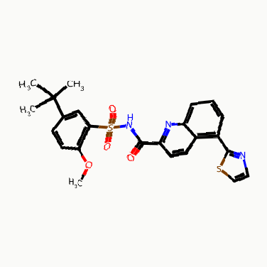 COc1ccc(C(C)(C)C)cc1S(=O)(=O)NC(=O)c1ccc2c(-c3nccs3)cccc2n1